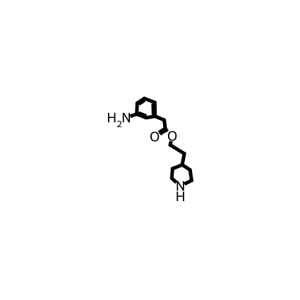 Nc1cccc(CC(=O)OCCC2CCNCC2)c1